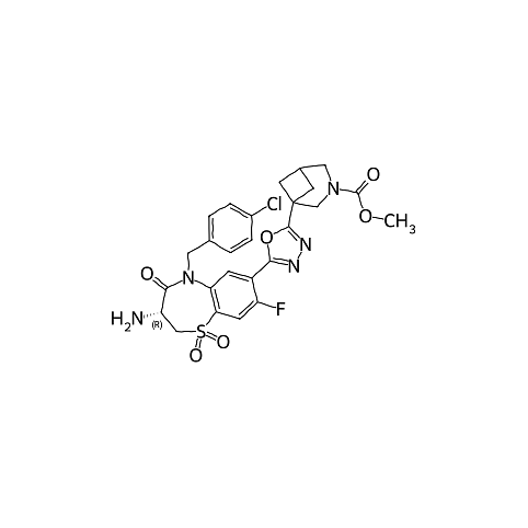 COC(=O)N1CC2CC(c3nnc(-c4cc5c(cc4F)S(=O)(=O)C[C@H](N)C(=O)N5Cc4ccc(Cl)cc4)o3)(C2)C1